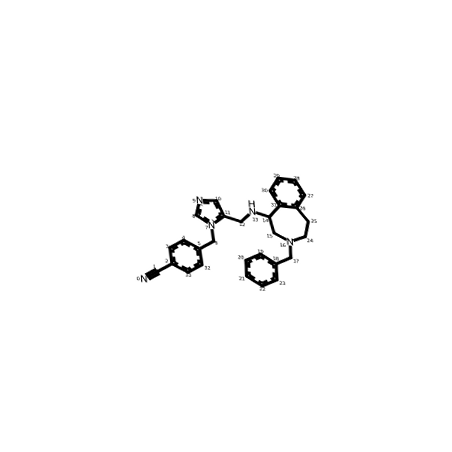 N#Cc1ccc(Cn2cncc2CNC2CN(Cc3ccccc3)CCc3ccccc32)cc1